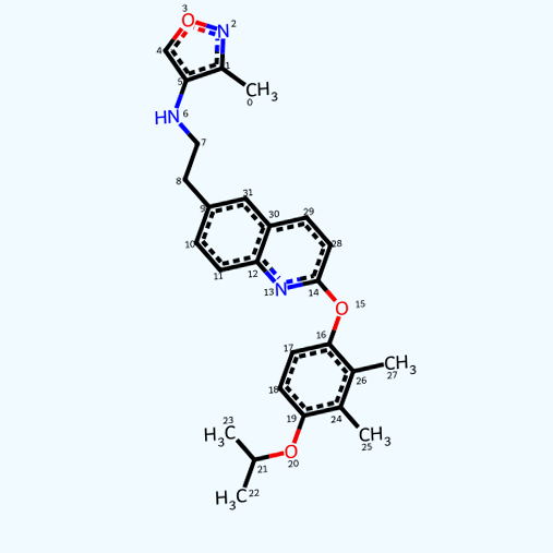 Cc1nocc1NCCc1ccc2nc(Oc3ccc(OC(C)C)c(C)c3C)ccc2c1